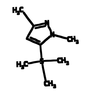 Cc1cc(S(C)(C)C)n(C)n1